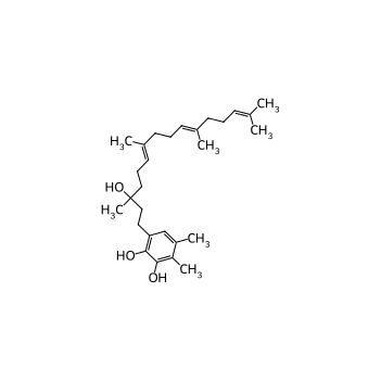 CC(C)=CCC/C(C)=C/CC/C(C)=C/CCC(C)(O)CCc1cc(C)c(C)c(O)c1O